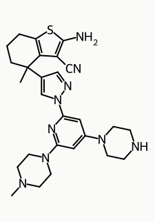 CN1CCN(c2cc(N3CCNCC3)cc(-n3cc(C4(C)CCCc5sc(N)c(C#N)c54)cn3)n2)CC1